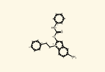 Nc1ccc2c(c1)cc(OC(=O)Nc1ccccc1)n2CCc1ccccc1